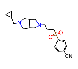 N#Cc1ccc(S(=O)(=O)CCCN2CC3CN(CC4CC4)CC3C2)cc1